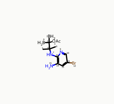 BC(B)(OC(C)=O)C(C)(C)Nc1ncc(Br)cc1N